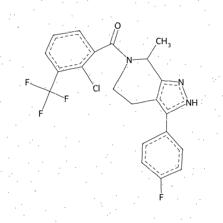 CC1c2n[nH]c(-c3ccc(F)cc3)c2CCN1C(=O)c1cccc(C(F)(F)F)c1Cl